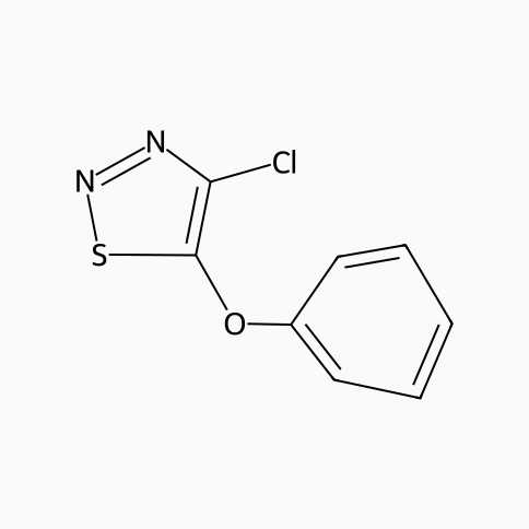 Clc1nnsc1Oc1ccccc1